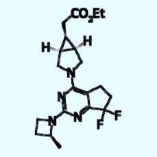 CCOC(=O)C[C@H]1[C@H]2CN(c3nc(N4CC[C@@H]4C)nc4c3CCC4(F)F)C[C@@H]12